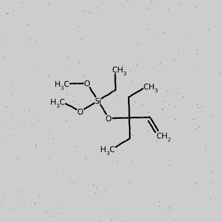 C=CC(CC)(CC)O[Si](CC)(OC)OC